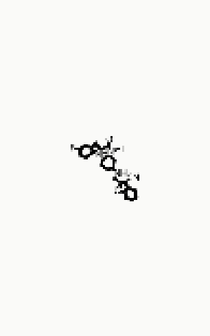 CCN(C(=O)c1cc2cc(F)ccc2[nH]1)C1CCCC(NCc2oc3ccccc3c2C#N)C1